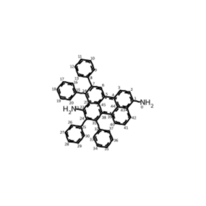 Nc1ccc2c3cc(-c4ccccc4)c(-c4ccccc4)c4c(N)c(-c5ccccc5)c(-c5ccccc5)c(c5cccc1c25)c43